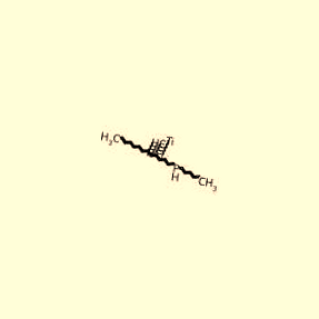 CCCCCCCCCCCCCCPCCCCCC.Cl.Cl.Cl.Cl.[Ti]